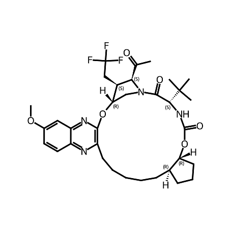 COc1ccc2nc3c(nc2c1)O[C@H]1CN(C(=O)[C@H](C(C)(C)C)NC(=O)O[C@@H]2CCC[C@H]2CCCCC3)[C@H](C(C)=O)[C@@H]1CC(F)(F)F